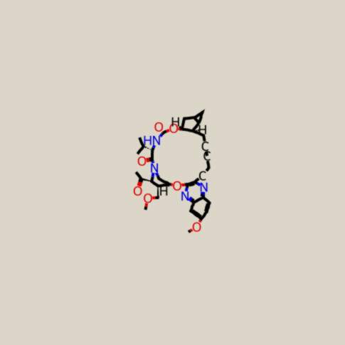 COC[C@@H]1[C@@H]2CN(C(=O)[C@H](C(C)C)NC(=O)O[C@@H]3CC4CC4[C@H]3CCCCCc3nc4ccc(OC)cc4nc3O2)[C@@H]1C(C)=O